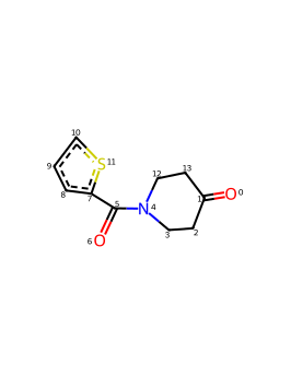 O=C1CCN(C(=O)c2cccs2)CC1